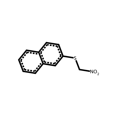 O=[N+]([O-])CSc1ccc2ccccc2c1